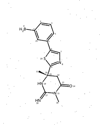 Bc1cccc(-c2cnc([C@]3(C)CC(=O)N(C)C(=N)N3)s2)c1